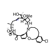 CO[C@@]1([C@@H](C)O)/C=C/C[C@H](C)[C@@H](C)S(=O)(=O)NC(=O)c2ccc3c(c2)N(CCCCc2cc(Cl)ccc2CO3)C[C@@H]2CC[C@H]21